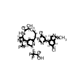 C[C@@H]1CCC[C@H](n2cnc(-c3cc(Cl)cc4c3cnn4C)cc2=O)c2cc(ccn2)-c2c(cnn2C(F)F)NC1=O.O=C(O)C(F)(F)F